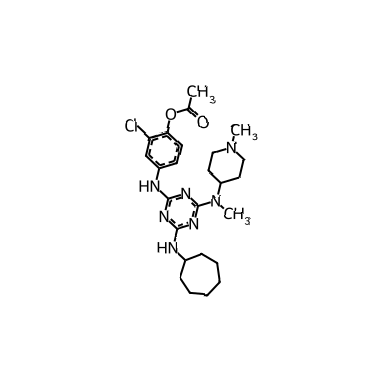 CC(=O)Oc1ccc(Nc2nc(NC3CCCCCC3)nc(N(C)C3CCN(C)CC3)n2)cc1Cl